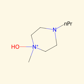 CCCN1CC[N+](C)(O)CC1